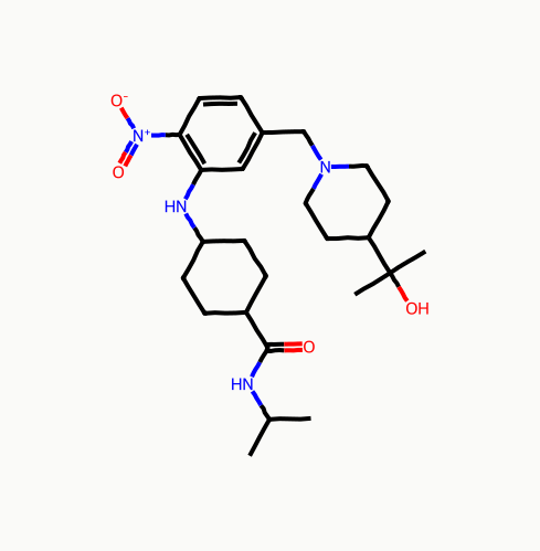 CC(C)NC(=O)C1CCC(Nc2cc(CN3CCC(C(C)(C)O)CC3)ccc2[N+](=O)[O-])CC1